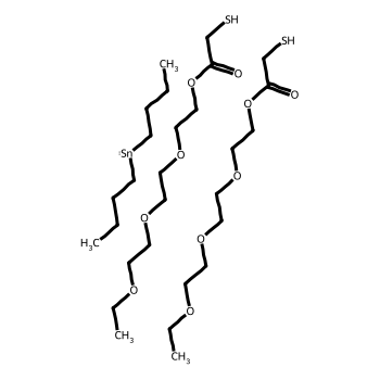 CCC[CH2][Sn][CH2]CCC.CCOCCOCCOCCOC(=O)CS.CCOCCOCCOCCOC(=O)CS